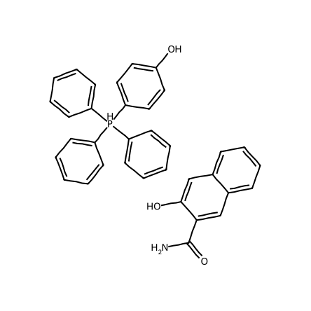 NC(=O)c1cc2ccccc2cc1O.Oc1ccc([PH](c2ccccc2)(c2ccccc2)c2ccccc2)cc1